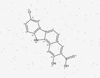 O=C(O)c1cc2ccc3c4cc(Cl)ccc4[nH]c3c2cc1O